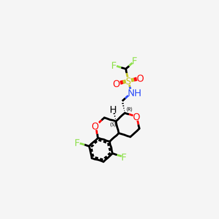 O=S(=O)(NC[C@@H]1OCCC2c3c(F)ccc(F)c3OC[C@H]21)C(F)F